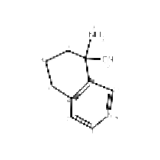 N#CC1(N)CCCc2ccncc21